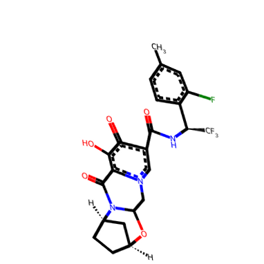 Cc1ccc([C@H](NC(=O)c2cn3c(c(O)c2=O)C(=O)N2C(C3)O[C@H]3CC[C@@H]2C3)C(F)(F)F)c(F)c1